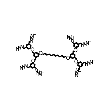 [N-]=[N+]=NCc1cc(CN=[N+]=[N-])cc(OCc2cc(COc3cc(CN=[N+]=[N-])cc(CN=[N+]=[N-])c3)cc(OCC=CCCC=CCCC=CCOc3cc(COc4cc(CN=[N+]=[N-])cc(CN=[N+]=[N-])c4)cc(COc4cc(CN=[N+]=[N-])cc(CN=[N+]=[N-])c4)c3)c2)c1